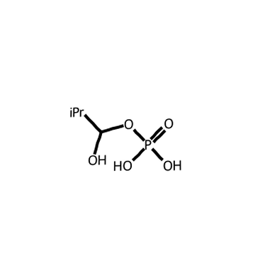 CC(C)C(O)OP(=O)(O)O